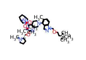 Cc1ccc2c(cnn2COCC[Si](C)(C)C)c1N1CCc2c(nc(OC[C@@H]3CCCN3C)nc2N2CC3CCC(C2)N3C(=O)OC(C)(C)C)C1